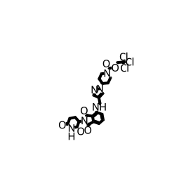 O=C1CCC(N2C(=O)c3cccc(NCc4cnn(C5CCN(C(=O)OCC(Cl)(Cl)Cl)CC5)c4)c3C2=O)C(=O)N1